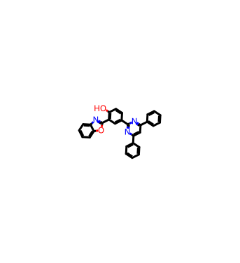 Oc1ccc(-c2nc(-c3ccccc3)cc(-c3ccccc3)n2)cc1-c1nc2ccccc2o1